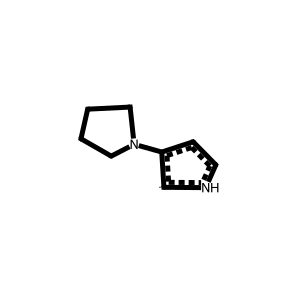 [c]1[nH]ccc1N1CCCC1